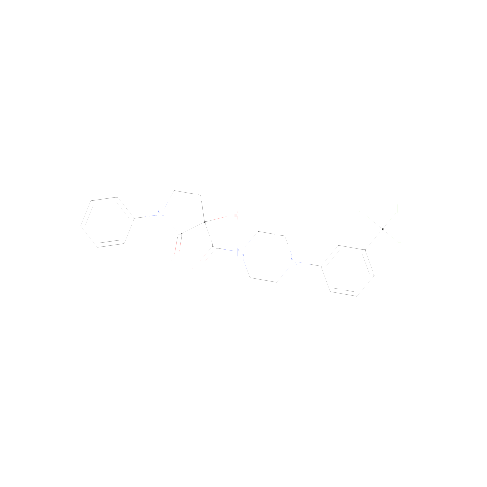 O=C(N1CCN(c2cccc(C(F)(F)F)c2)CC1)C1(O)CCN(c2ccccc2)C1=O